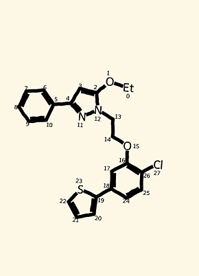 CCOc1cc(-c2ccccc2)nn1CCOc1cc(-c2cccs2)ccc1Cl